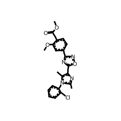 COC(=O)c1ccc(-c2noc(-c3nc(C)n(-c4ccccc4Cl)c3C)n2)cc1OC